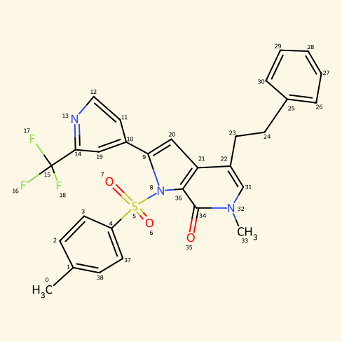 Cc1ccc(S(=O)(=O)n2c(-c3ccnc(C(F)(F)F)c3)cc3c(CCc4ccccc4)cn(C)c(=O)c32)cc1